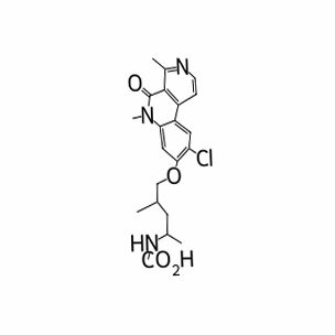 Cc1nccc2c1c(=O)n(C)c1cc(OCC(C)CC(C)NC(=O)O)c(Cl)cc21